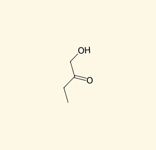 CCC(=O)CO